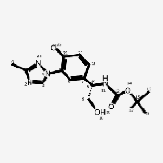 Cc1ncn(-c2cc([C@@H](CO)NC(=O)OC(C)(C)C)ccc2Cl)n1